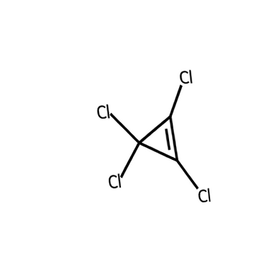 ClC1=C(Cl)C1(Cl)Cl